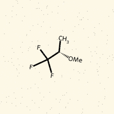 CO[C@@H](C)C(F)(F)F